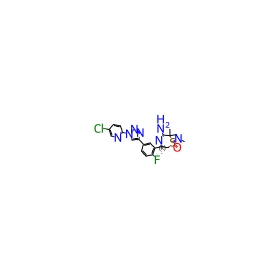 CN=S1(=O)C[C@@](C)(c2cc(-c3cn(-c4ccc(Cl)cn4)nn3)ccc2F)N=C(N)C1(C)C